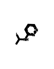 CC(I)Nc1cccnn1